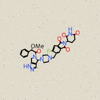 CO[C@@H](C(=O)N1Cc2[nH]n[c]c2C1N1CCN(Cc2cc3c(cc2F)C(=O)N(C2CCC(=O)NC2=O)C3=O)CC1)c1ccccc1